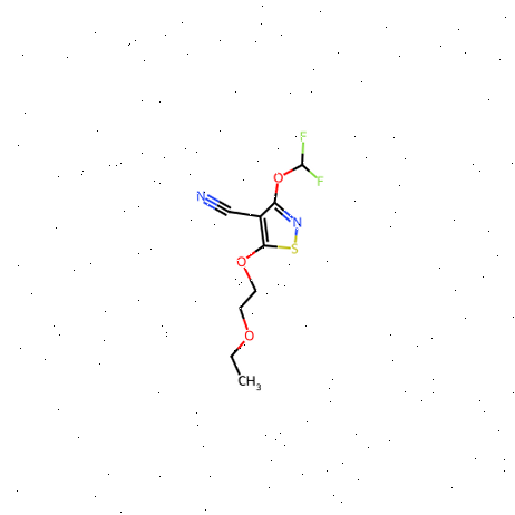 CCOCCOc1snc(OC(F)F)c1C#N